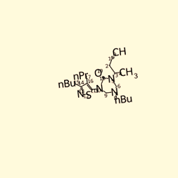 C#CCC(C)N1CN(CCCC)CN(c2snc(CCCC)c2CCC)C1=O